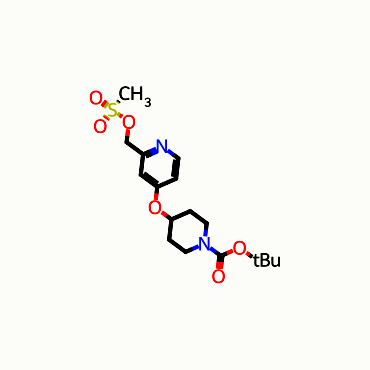 CC(C)(C)OC(=O)N1CCC(Oc2ccnc(COS(C)(=O)=O)c2)CC1